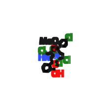 COc1cc(Cl)ccc1C(=O)c1cc(Cl)c(Cl)n1-c1c(C(=O)c2ccccc2CO)[nH]c(Cl)c1Cl